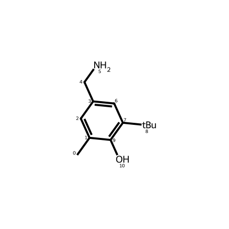 Cc1cc(CN)cc(C(C)(C)C)c1O